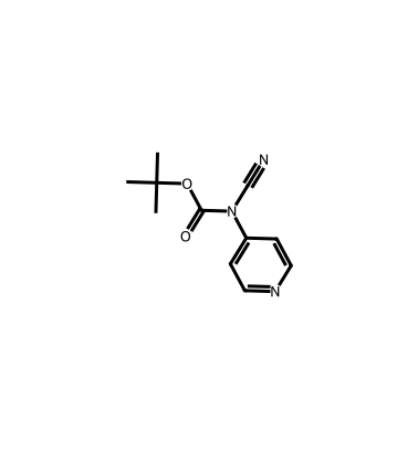 CC(C)(C)OC(=O)N(C#N)c1ccncc1